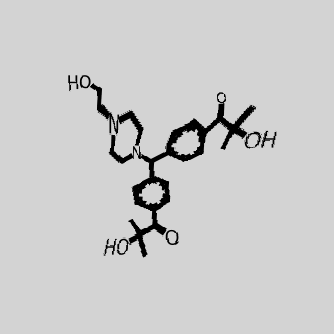 CC(C)(O)C(=O)c1ccc(C(c2ccc(C(=O)C(C)(C)O)cc2)N2CCN(CCO)CC2)cc1